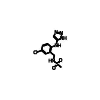 CS(=O)(=O)NCc1cc(Cl)ccc1Nc1cnn[nH]1